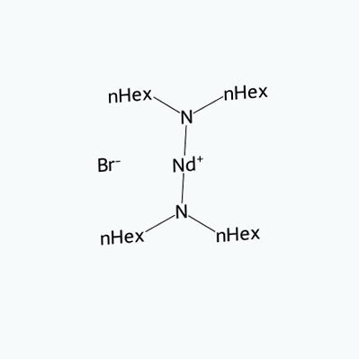 CCCCCC[N](CCCCCC)[Nd+][N](CCCCCC)CCCCCC.[Br-]